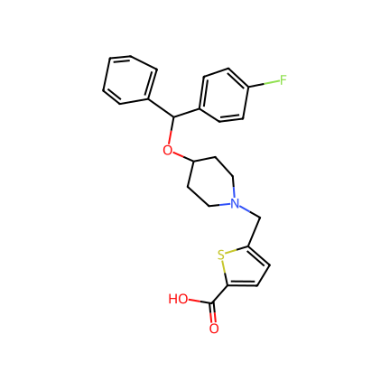 O=C(O)c1ccc(CN2CCC(OC(c3ccccc3)c3ccc(F)cc3)CC2)s1